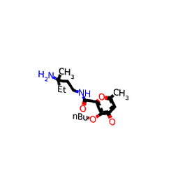 CCCCOc1c(C(=O)NCCC(C)(N)CC)oc(C)cc1=O